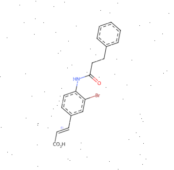 O=C(O)/C=C/c1ccc(NC(=O)CCc2ccccc2)c(Br)c1